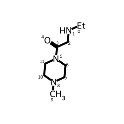 CCNCC(=O)N1CCN(C)CC1